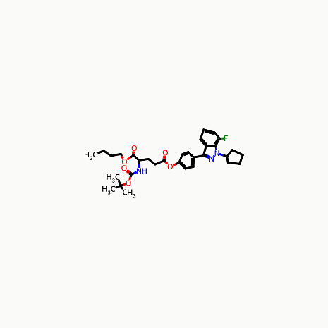 CCCCOC(=O)C(CCC(=O)Oc1ccc(-c2nn(C3CCCC3)c3c(F)cccc23)cc1)NC(=O)OC(C)(C)C